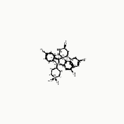 O=C1C[C@@H](C2C=CC=C(Cl)C2)[C@]2(C(=O)Nc3cc(Cl)ccc32)[C@@H](c2cc(F)ccc2OC2CCS(=O)(=O)CC2)N1